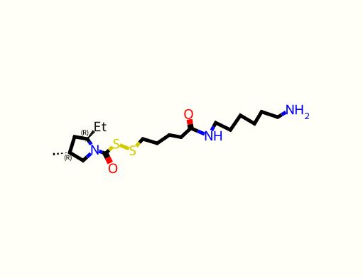 CC[C@@H]1C[C@@H](C)CN1C(=O)SSCCCCC(=O)NCCCCCCN